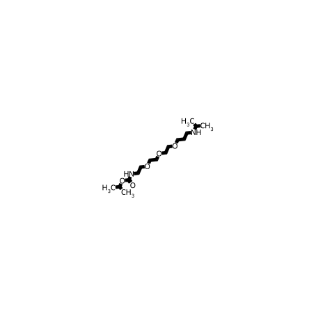 CC(C)NCCCOCCOCCOCCNC(=O)OC(C)C